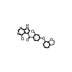 O=C(c1ccc(Oc2cccc3c2OCC3)cc1Cl)c1c[nH]c2ncnc(Cl)c12